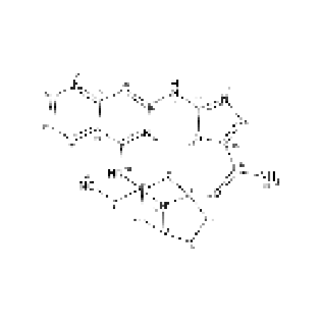 N#CCCN1C2CCC1CC(Nc1nc(Nc3ncc(C(N)=O)s3)cc3ncccc13)C2